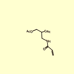 C=CC(=O)NCC(COC(C)=O)OC(C)=O